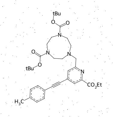 CCOC(=O)c1cc(C#Cc2ccc(C)cc2)cc(CN2CCN(C(=O)OC(C)(C)C)CCN(C(=O)OC(C)(C)C)CC2)n1